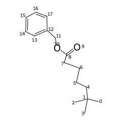 CC(C)(C)CCCCC(=O)OCc1ccccc1